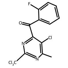 Cc1nc(C(Cl)(Cl)Cl)nc(C(=O)c2ccccc2F)c1Cl